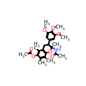 COc1cc(C2Cc3c(C)c(OC(C)=O)c(C)c(C)c3OC2(C)NC(C)=O)cc(OC)c1OC